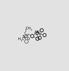 CCCCC1=N[C@](C)(C2CCCCC2)C(=O)N1Cc1ccc(-c2ccccc2-c2nnnn2C(c2ccccc2)(c2ccccc2)c2ccccc2)cc1